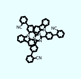 N#Cc1ccccc1-c1ccc(-c2nc(-c3ccc(-c4ccccc4C#N)cc3-n3c4ccccc4c4ccccc43)nc(-c3ccc(-c4ccccc4C#N)cc3-n3c4ccccc4c4ccccc43)n2)cc1